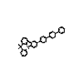 CC1(C)c2ccccc2-n2c3ccc(-c4ccc(C5=CCC(c6ccccc6)C=C5)cc4)cc3c3cccc1c32